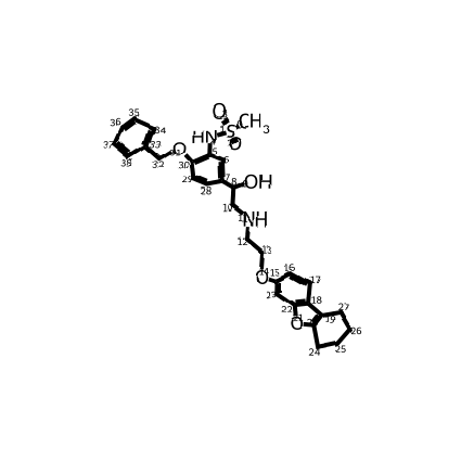 CS(=O)(=O)Nc1cc(C(O)CNCCOc2ccc3c4c(oc3c2)CCCC4)ccc1OCc1ccccc1